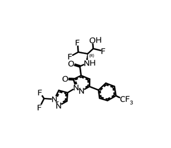 O=C(N[C@H](C(O)F)C(F)F)c1cc(-c2ccc(C(F)(F)F)cc2)nn(-c2cnn(C(F)F)c2)c1=O